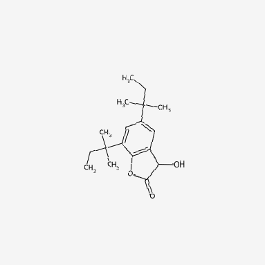 CCC(C)(C)c1cc2c(c(C(C)(C)CC)c1)OC(=O)C2O